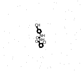 C#Cc1ccc(NC(=O)NC(=O)c2ccccc2Cl)cc1